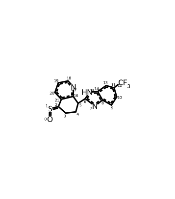 O=S=C1CCC(c2nc3ccc(C(F)(F)F)cc3[nH]2)c2ncccc21